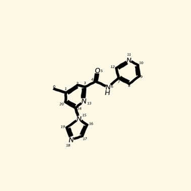 Cc1cc(C(=O)Nc2cccnc2)nc(-n2ccnc2)c1